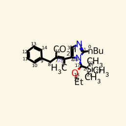 CCCCc1ncc(/C(C)=C(/Cc2ccccc2)C(=O)O)n1C(OCC)[Si](C)(C)C